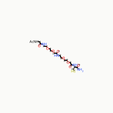 CC(=O)NCC(=O)NCCOCCOCC(=O)NCCOCCOCC(=O)N[C@H](CS)C(N)=O